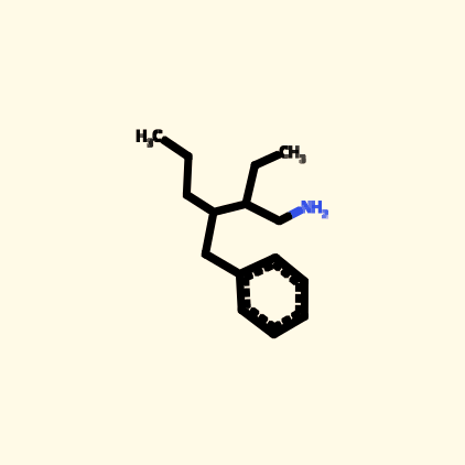 CCCC(Cc1ccccc1)C(CC)CN